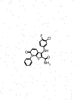 NC(=O)c1sc2c(ccc(=O)n2-c2ccccc2)c1Nc1ccc(F)c(Cl)c1